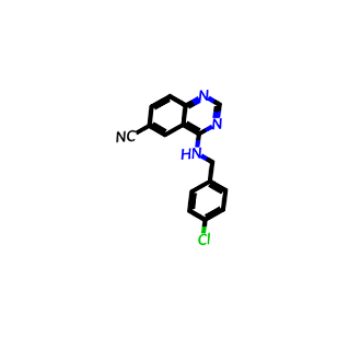 N#Cc1ccc2ncnc(NCc3ccc(Cl)cc3)c2c1